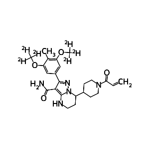 [2H]C([2H])([2H])Oc1cc(-c2nn3c(c2C(N)=O)NCCC3C2CCN(C(=O)C=C)CC2)cc(OC([2H])([2H])[2H])c1C